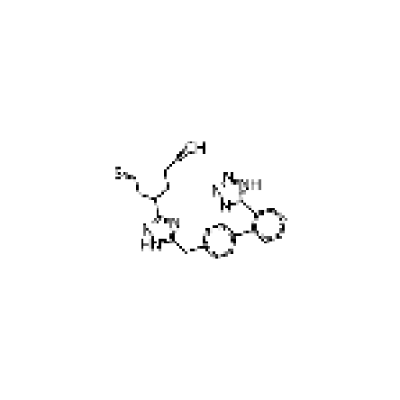 C#CCCC(CC=S)c1n[nH]c(Cc2ccc(-c3ccccc3-c3nnn[nH]3)cc2)n1